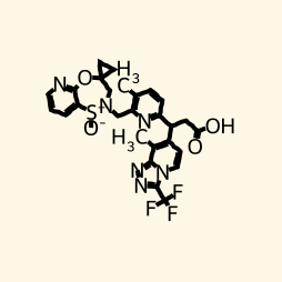 Cc1ccc(C(CC(=O)O)c2ccn3c(C(F)(F)F)nnc3c2C)nc1CN1CC2(CC2)Oc2ncccc2[S+]1[O-]